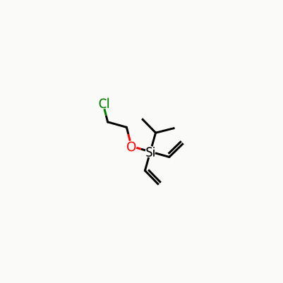 C=C[Si](C=C)(OCCCl)C(C)C